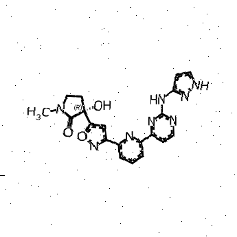 CN1CC[C@@](O)(c2cc(-c3cccc(-c4ccnc(Nc5cc[nH]n5)n4)n3)no2)C1=O